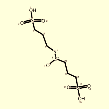 O=S(=O)(O)CCCS[S+]([O-])CCCS(=O)(=O)O